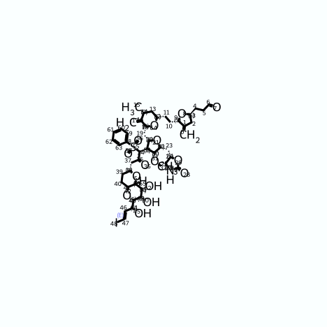 C=C1C[C@H](CCC=O)O[C@H]1CC[C@H]1C[C@@H](C)C(=C)[C@@H](C[C@@H]2O[C@H](C[C@H]3CNC(=O)O3)[C@H](OC)[C@H]2C(C(=O)C[C@H]2CCC3O[C@@H]([C@@H](O)/C=C/I)[C@@H](O)[C@@H](O)[C@H]3O2)S(=O)(=O)c2ccccc2)O1